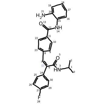 CC(C)NC(=O)/C(=C\c1ccc(C(=O)Nc2ccccc2N)cc1)c1ccc(F)cc1